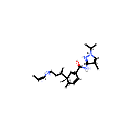 C/C=C\N=C/CC(C)[C@]1(C)C=C(C(=O)Nc2nn(C(C)C)cc2C)C=CC1C